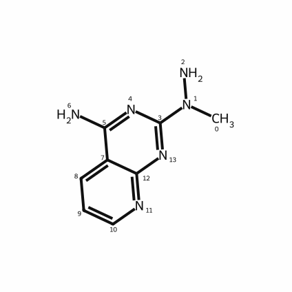 CN(N)c1nc(N)c2cccnc2n1